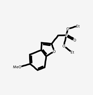 CCOP(=O)(Cc1cc2cc(OC)ccc2o1)OCC